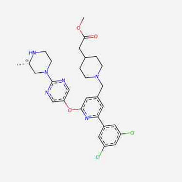 COC(=O)CC1CCN(Cc2cc(Oc3cnc(N4CCN[C@@H](C)C4)nc3)nc(-c3cc(Cl)cc(Cl)c3)c2)CC1